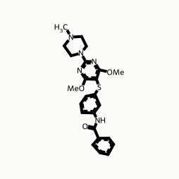 COc1nc(N2CCN(C)CC2)nc(OC)c1Sc1cccc(NC(=O)c2ccccc2)c1